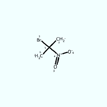 [CH2]C([CH2])(Br)[N+](=O)[O-]